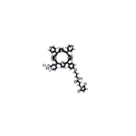 C=C/C=C(\C=C/N)c1c2nc(c(-c3ccc(OCCCNC(=O)CCN4C(=O)C=CC4=O)cc3)c3ccc([nH]3)c(-c3ccncc3)c3nc(c(-c4ccncc4)c4ccc1[nH]4)C=C3)C=C2